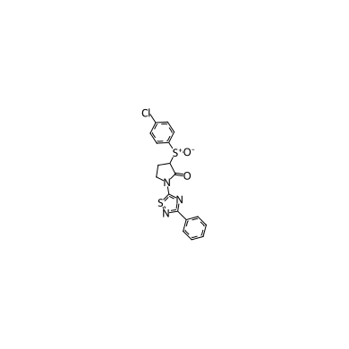 O=C1C([S+]([O-])c2ccc(Cl)cc2)CCN1c1nc(-c2ccccc2)ns1